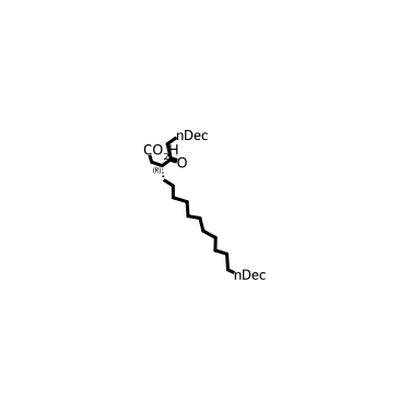 CCCCCCCCCCCCCCCCCCCCC[C@H](CC(=O)O)C(=O)CCCCCCCCCCC